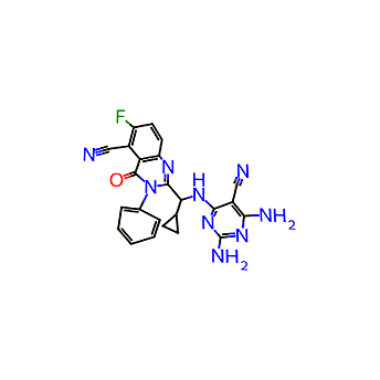 N#Cc1c(N)nc(N)nc1NC(c1nc2ccc(F)c(C#N)c2c(=O)n1-c1ccccc1)C1CC1